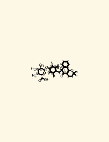 CC1(C)CCC2=C(O1)c1ccccc1C(O)(Cc1c(F)c(F)c(O[C@@H]3O[C@H](C(=O)O)[C@@H](O)[C@H](O)[C@H]3O)c(F)c1F)C2=O